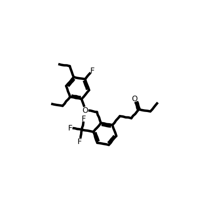 CCC(=O)CCc1cccc(C(F)(F)F)c1COc1cc(F)c(CC)cc1CC